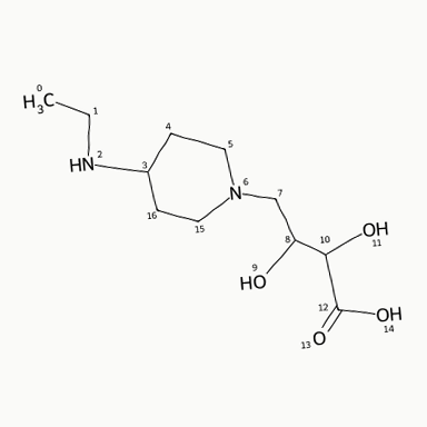 CCNC1CCN(CC(O)C(O)C(=O)O)CC1